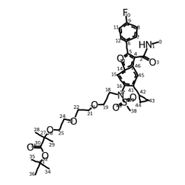 CNC(=O)c1c(-c2ccc(F)cc2)oc2cc(N(CCOCCOCCOC(C)(C)C(=O)OC(C)(C)C)S(C)(=O)=O)c(C3CC3)cc12